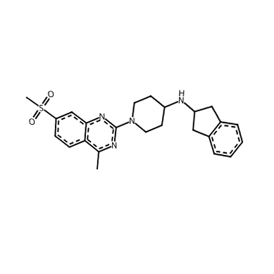 Cc1nc(N2CCC(NC3Cc4ccccc4C3)CC2)nc2cc(S(C)(=O)=O)ccc12